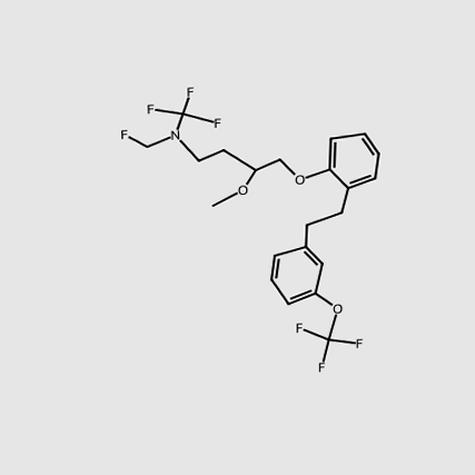 COC(CCN(CF)C(F)(F)F)COc1ccccc1CCc1cccc(OC(F)(F)F)c1